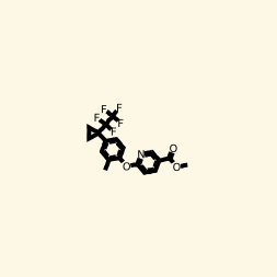 COC(=O)c1ccc(Oc2ccc(C3(C(F)(F)C(F)(F)F)CC3)cc2C)nc1